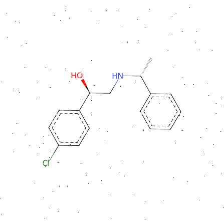 C[C@@H](NC[C@H](O)c1ccc(Cl)cc1)c1ccccc1